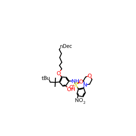 CCCCCCCCCCCCCCCCOc1cc(NS(=O)(=O)c2cc([N+](=O)[O-])ccc2N2CCOCC2)c(O)cc1C(C)(C)CC(C)(C)C